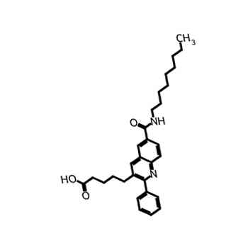 CCCCCCCCCNC(=O)c1ccc2nc(-c3ccccc3)c(CCCCC(=O)O)cc2c1